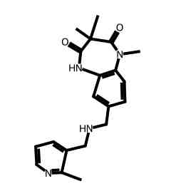 Cc1ncccc1CNCc1ccc2c(c1)NC(=O)C(C)(C)C(=O)N2C